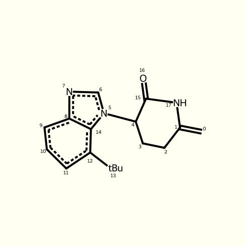 C=C1CCC(n2cnc3cccc(C(C)(C)C)c32)C(=O)N1